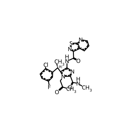 CNC(=O)c1nc(NC(=O)c2nsc3ncccc23)c([C@H](C)c2cc(F)ccc2Cl)n1CC(C)=O